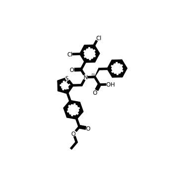 CCOC(=O)c1ccc(-c2ccsc2CN(C(=O)c2ccc(Cl)cc2Cl)[C@@H](Cc2ccccc2)C(=O)O)cc1